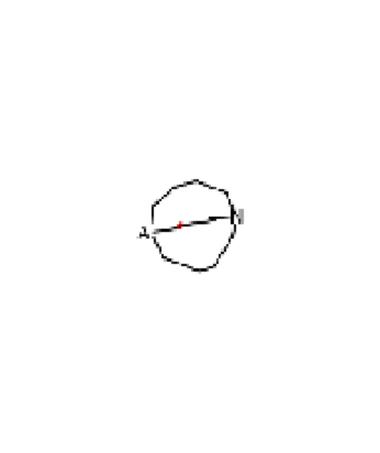 C1C[CH2][Al]2[CH2]CCCN(C1)CCC[CH2]2